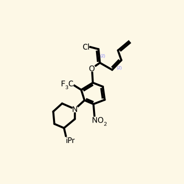 C=C/C=C\C(=C\Cl)Oc1ccc([N+](=O)[O-])c(N2CCCC(C(C)C)C2)c1C(F)(F)F